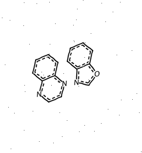 c1ccc2nccnc2c1.c1ccc2ocnc2c1